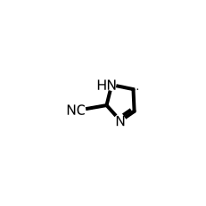 N#CC1N=C[CH]N1